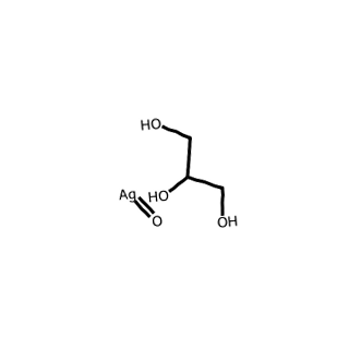 OCC(O)CO.[O]=[Ag]